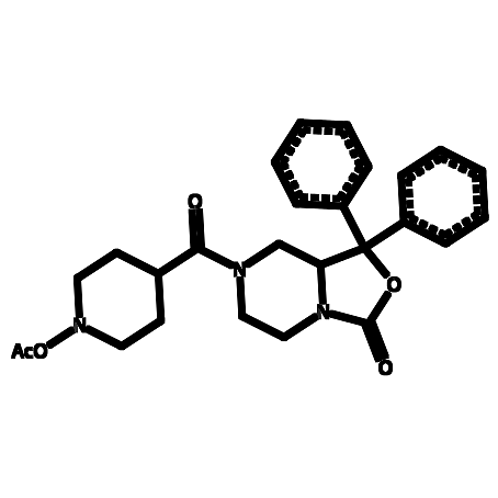 CC(=O)ON1CCC(C(=O)N2CCN3C(=O)OC(c4ccccc4)(c4ccccc4)C3C2)CC1